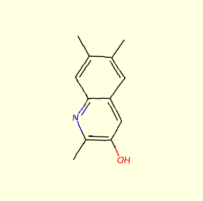 Cc1cc2cc(O)c(C)nc2cc1C